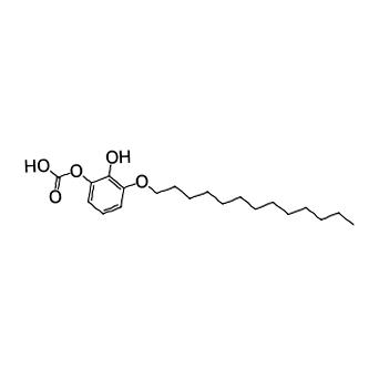 CCCCCCCCCCCCCOc1cccc(OC(=O)O)c1O